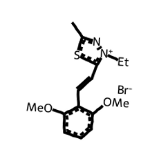 CC[n+]1nc(C)sc1C=Cc1c(OC)cccc1OC.[Br-]